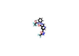 O=C1c2cc(-c3nnc(C(F)F)o3)cnc2CN1[C@@H]1CCCC[C@H]1NC(=O)C(F)(F)F